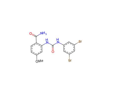 COc1ccc(C(N)=O)c(NC(=O)Nc2cc(Br)cc(Br)c2)c1